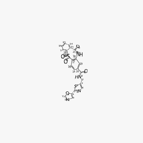 O=C(NCc1cnc(-c2cnco2)s1)c1ccc2c(c1)NC(=O)c1ccccc1S2(=O)=O